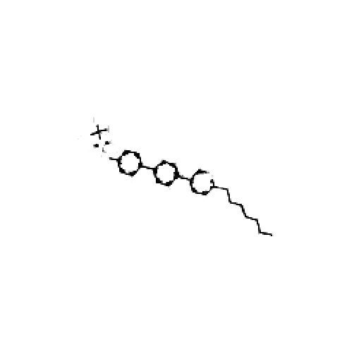 CCCCCCCc1ccc(-c2ccc(-c3ccc(OS(=O)(=O)C(F)(F)F)cc3)cc2)cn1